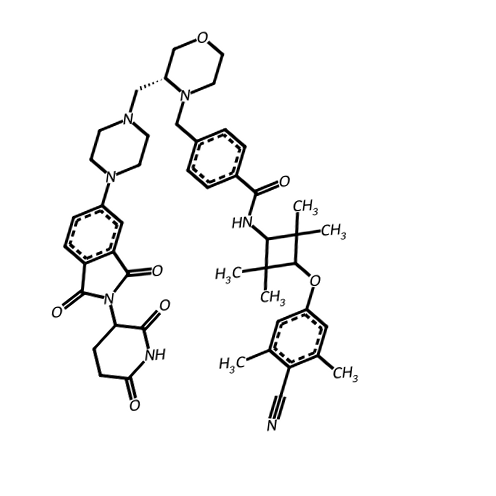 Cc1cc(OC2C(C)(C)C(NC(=O)c3ccc(CN4CCOC[C@H]4CN4CCN(c5ccc6c(c5)C(=O)N(C5CCC(=O)NC5=O)C6=O)CC4)cc3)C2(C)C)cc(C)c1C#N